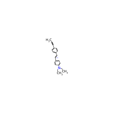 CC#Cc1ccc(/C=C/c2ccc(N(CC)CC)cc2)cc1